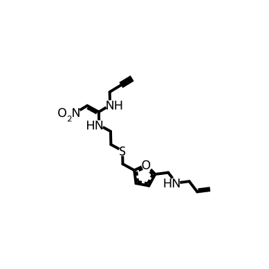 C#CCN/C(=C/[N+](=O)[O-])NCCSCc1ccc(CNCC=C)o1